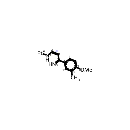 CCN/C=C\C(=N)c1ccc(OC)c(C)c1